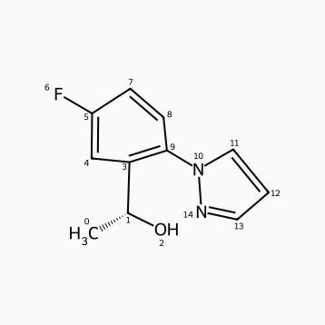 C[C@@H](O)c1cc(F)ccc1-n1cccn1